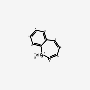 C1=Cc2ccccc2SN=C1.[CaH2]